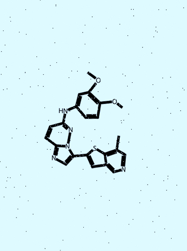 COc1ccc(Nc2ccc3ncc(-c4cc5cncc(C)c5s4)n3n2)cc1OC